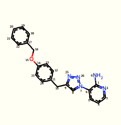 Nc1ncccc1-n1cc(Cc2ccc(OCc3ccccc3)cc2)nn1